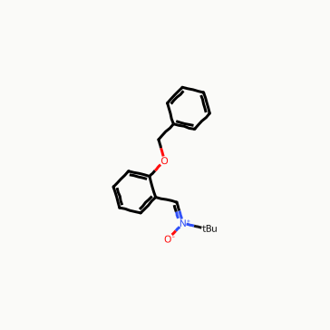 CC(C)(C)[N+]([O-])=Cc1ccccc1OCc1ccccc1